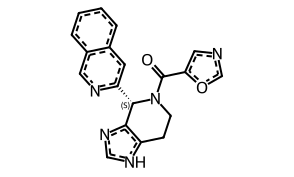 O=C(c1cnco1)N1CCc2[nH]cnc2[C@@H]1c1cc2ccccc2cn1